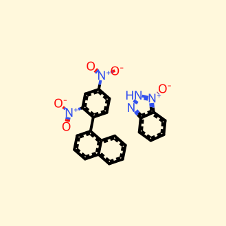 O=[N+]([O-])c1ccc(-c2cccc3ccccc23)c([N+](=O)[O-])c1.[O-][n+]1[nH]nc2ccccc21